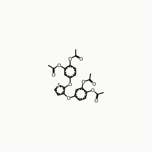 CC(=O)Oc1ccc(Oc2ccsc2Oc2ccc(OC(C)=O)c(OC(C)=O)c2)cc1OC(C)=O